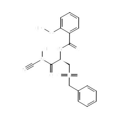 COc1ccccc1C(=O)N[C@@H](CS(=O)(=O)Cc1ccccc1)C(=O)N(C)C#N